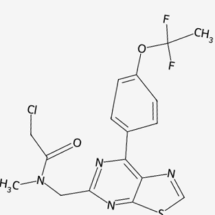 CN(Cc1nc(-c2ccc(OC(C)(F)F)cc2)c2ncsc2n1)C(=O)CCl